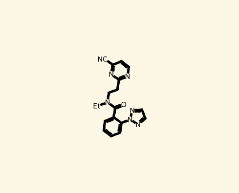 CCN(CCc1nccc(C#N)n1)C(=O)c1ccccc1-n1nccn1